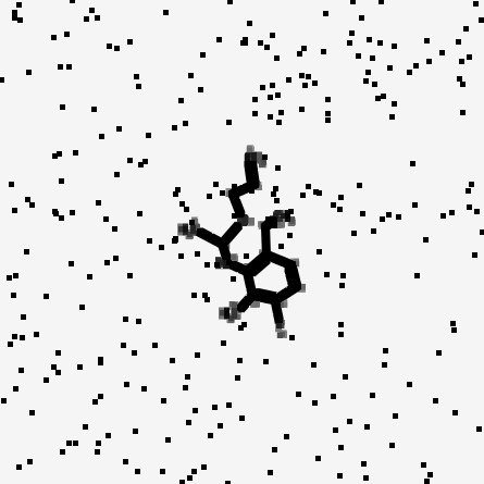 C=CCOC(C)Nc1c(CC)ccc(F)c1C